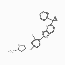 O=C(O)[C@@H]1C[C@@H](Cc2ccc(-c3nc4ccc(C5(c6ccccc6)C=C5)nc4s3)c(F)c2)CN1